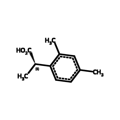 Cc1ccc([C@H](C)C(=O)O)c(C)c1